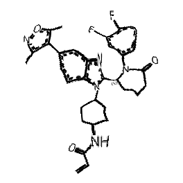 C=CC(=O)NC1CCC(n2c([C@@H]3CCCC(=O)N3c3ccc(F)c(F)c3)nc3cc(-c4c(C)noc4C)ccc32)CC1